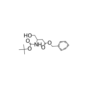 CC(C)(C)OC(=O)NC(CO)CC(=O)OCc1ccccc1